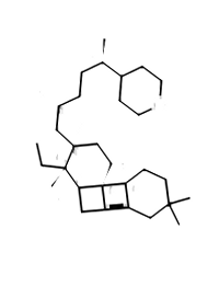 C[C@H](CC[C@@H](C)[C@H]1CC[C@@]2(C)[C@]3(C)CC4=C5CC(C)(C)CC[C@]5(C)[C@]43CC[C@]12C)C1CCOCC1